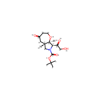 CC(C)(C)OC(=O)N1C[C@@H]2CC(=O)CCO[C@H]2[C@H]1C(=O)CO